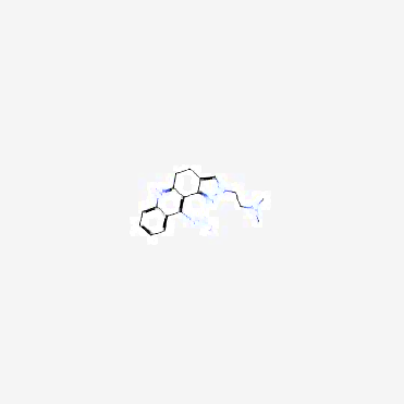 CN(C)CCn1cc2c(n1)-c1c(nc3ccccc3c1N)CC2